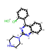 Cl.Clc1ccccc1-c1nc(N2CCNCC2)nc2ccccc12